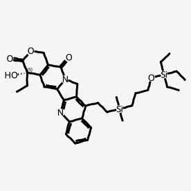 CC[C@@]1(O)C(=O)OCc2c1cc1n(c2=O)Cc2c-1nc1ccccc1c2CC[Si](C)(C)CCCO[Si](CC)(CC)CC